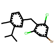 Cc1ccc(Cc2c(Cl)cc(Br)cc2Cl)cc1C(C)C